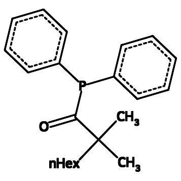 CCCCCCC(C)(C)C(=O)P(c1ccccc1)c1ccccc1